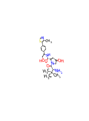 Cc1ncsc1-c1ccc([C@H](CO)NC(=O)[C@@H]2C[C@@H](O)CN2C(=O)C(N)C(C)(C)C)cc1